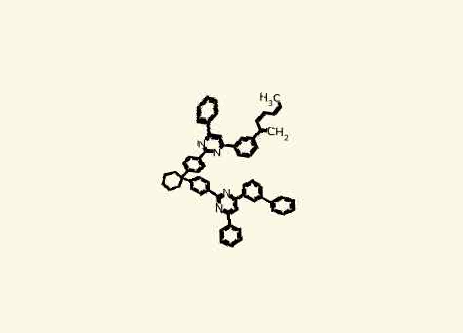 C=C(/C=C\C=C/C)c1cccc(-c2cc(-c3ccccc3)nc(-c3ccc(C4(c5ccc(-c6nc(-c7ccccc7)cc(-c7cccc(-c8ccccc8)c7)n6)cc5)CCCCC4)cc3)n2)c1